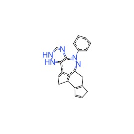 C1=CC2=C(C1)Cc1nn(-c3ccccc3)c3nc[nH][nH]c=3c3c1=C2CC=3